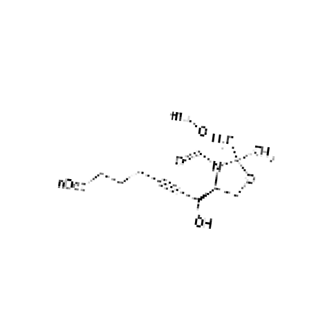 CCCCCCCCCCCCCC#CC(O)[C@@H]1COC(C)(C)N1C(=O)OC(C)(C)C